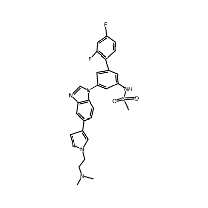 CN(C)CCn1cc(-c2ccc3c(c2)ncn3-c2cc(NS(C)(=O)=O)cc(-c3ccc(F)cc3F)c2)cn1